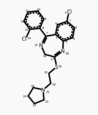 Clc1ccc2c(c1)C(c1ccccc1Cl)=NCC(SCCN1CCCC1)=N2